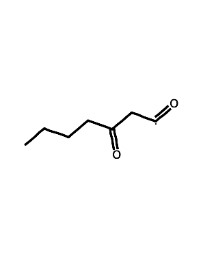 CCCCC(=O)C[C]=O